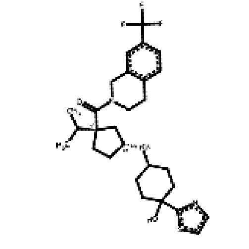 CC(C)[C@]1(C(=O)N2CCc3ccc(C(F)(F)F)cc3C2)CC[C@@H](NC2CCC(O)(c3nccs3)CC2)C1